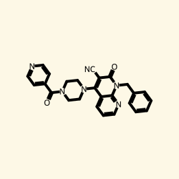 N#Cc1c(N2CCN(C(=O)c3ccncc3)CC2)c2cccnc2n(Cc2ccccc2)c1=O